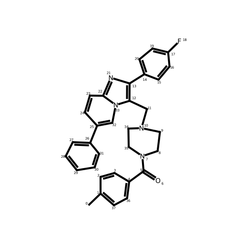 Cc1ccc(C(=O)N2CCN(Cc3c(-c4ccc(F)cc4)nc4ccc(-c5ccccc5)cn34)CC2)cc1